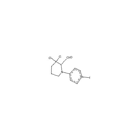 O=CC1N(c2ccc(I)cc2)CCCC1(Cl)Cl